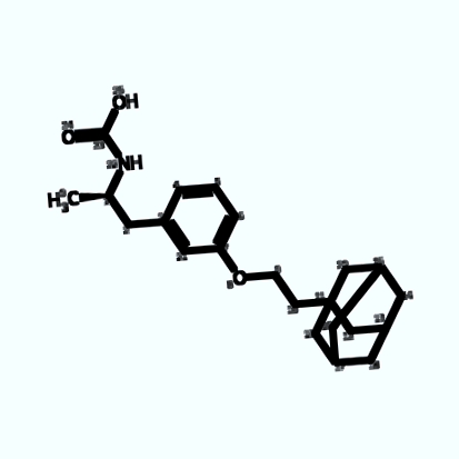 C[C@H](Cc1cccc(OCCC23CC4CC(CC(C4)C2)C3)c1)NC(=O)O